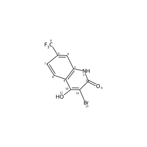 O=c1[nH]c2cc(C(F)(F)F)ccc2c(O)c1Br